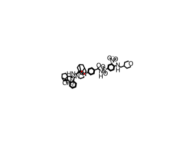 CC1(C)C2C=C(c3ccccc3CN3CCN(c4ccc(C(=O)NS(=O)(=O)c5ccc(NCC6CCOCC6)c([N+](=O)[O-])c5)cc4)CC3)C1(C(=O)NCC13CC4CC(CC(C4)C1)C3)CC2